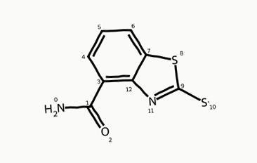 NC(=O)c1cccc2sc([S])nc12